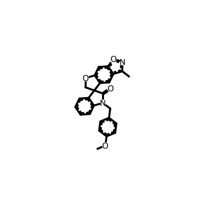 COc1ccc(CN2C(=O)C3(COc4cc5onc(C)c5cc43)c3ccccc32)cc1